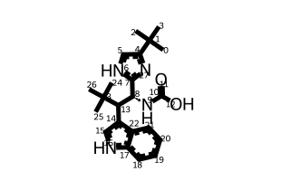 CC(C)(C)c1c[nH]c([C@H](NC(=O)O)C(c2c[nH]c3ccccc23)C(C)(C)C)n1